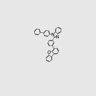 c1ccc(-c2ccc(-n3c(-c4cccc(-c5cccc6c5oc5ccccc56)c4)nc4ccccc43)cc2)cc1